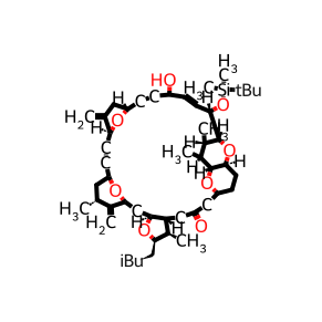 C=C1C2C[C@@H]3O[C@H](C[C@H](C)CC)[C@H](C)[C@H]3CC(=O)CC3CC[C@@H]4O[C@H]([C@@H](C)[C@@H](C)[C@H]4O3)[C@@H](O[Si](C)(C)C(C)(C)C)/C=C/C(O)CC[C@H]3CC(=C)[C@H](CCC(C[C@H]1C)O2)O3